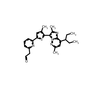 CCC(CC)c1cc(C)nn2c(-c3sc(-c4cccc(CC=O)n4)cc3C)c(C)nc12